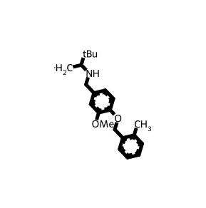 [CH2]C(NCc1ccc(OCc2ccccc2C)c(OC)c1)C(C)(C)C